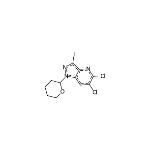 Clc1cc2c(nc1Cl)c(I)nn2C1CCCCO1